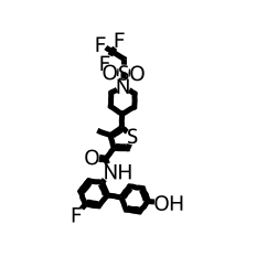 Cc1c(C(=O)Nc2ccc(F)cc2-c2ccc(O)cc2)csc1C1CCN(S(=O)(=O)CC(F)(F)F)CC1